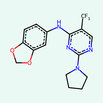 FC(F)(F)c1cnc(N2CCCC2)nc1Nc1ccc2c(c1)OCO2